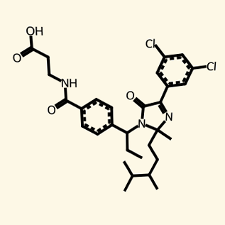 CCC(c1ccc(C(=O)NCCC(=O)O)cc1)N1C(=O)C(c2cc(Cl)cc(Cl)c2)=NC1(C)CCC(C)C(C)C